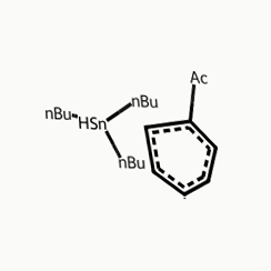 CC(=O)c1cc[c]cc1.CCC[CH2][SnH]([CH2]CCC)[CH2]CCC